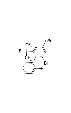 CCCc1[c]c(Br)c(-c2ccccc2F)c(C(F)(C(F)(F)F)C(F)(F)F)c1